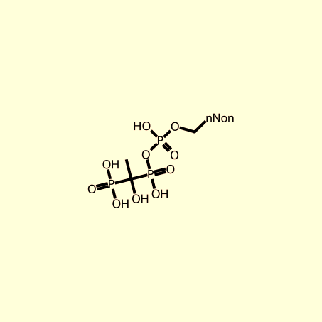 CCCCCCCCCCOP(=O)(O)OP(=O)(O)C(C)(O)P(=O)(O)O